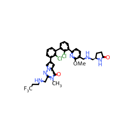 COc1nc(-c2cccc(-c3cccc(-c4cc5c(=O)n(C)c(CNCCC(F)(F)F)nn5c4)c3Cl)c2Cl)ccc1CNC[C@H]1CCC(=O)N1